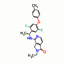 CCN1Cc2c(ccnc2N[C@@H](C)c2cc(F)c(Oc3ccc(C)cc3)cc2F)C1=O